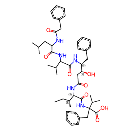 CC[C@H](C)[C@H](NC(=O)C[C@H](O)[C@H](Cc1ccccc1)NC(=O)C(NC(=O)C(CC(C)C)NC(=O)Cc1ccccc1)C(C)C)C(=O)NC(Cc1ccccc1)(C(=O)O)C(C)C